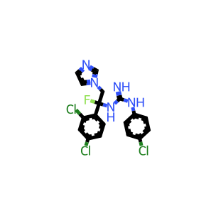 N=C(Nc1ccc(Cl)cc1)NC(F)(Cn1ccnc1)c1ccc(Cl)cc1Cl